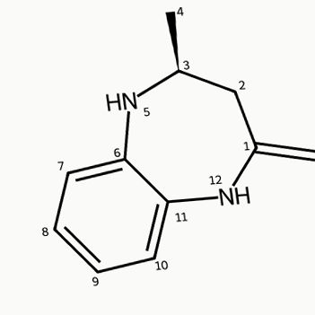 C=C1C[C@H](C)Nc2ccccc2N1